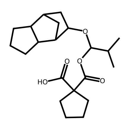 CC(C)C(OC(=O)C1(C(=O)O)CCCC1)OC1CC2CC1C1CCCC21